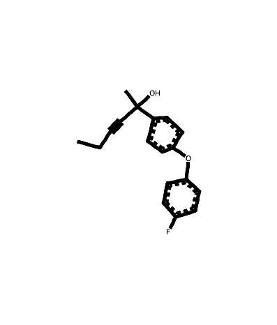 CCC#CC(C)(O)c1ccc(Oc2ccc(F)cc2)cc1